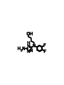 Nc1nnc(N(CCCCO)c2ccc(F)c(F)c2)[nH]1